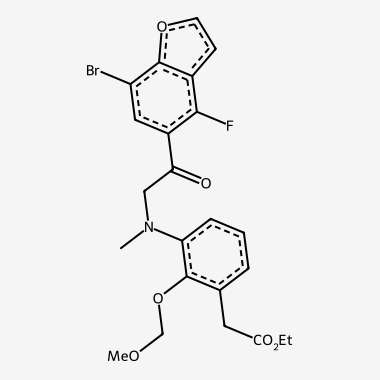 CCOC(=O)Cc1cccc(N(C)CC(=O)c2cc(Br)c3occc3c2F)c1OCOC